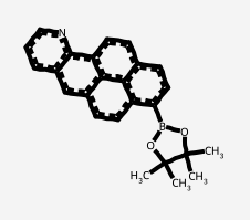 CC1(C)OB(c2ccc3ccc4c5ncccc5cc5ccc2c3c54)OC1(C)C